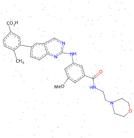 COc1cc(Nc2ncc3cc(-c4cc(C(=O)O)ccc4C)ccc3n2)cc(C(=O)NCCN2CCOCC2)c1